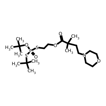 CC(C)(C)OP(=O)(SCCOC(=O)C(C)(C)CCN1CCOCC1)SC(C)(C)C